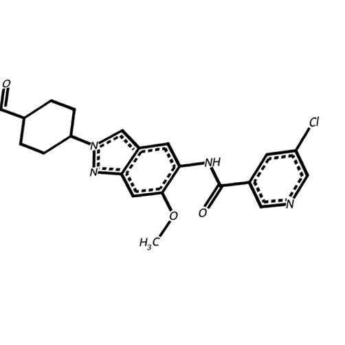 COc1cc2nn(C3CCC(C=O)CC3)cc2cc1NC(=O)c1cncc(Cl)c1